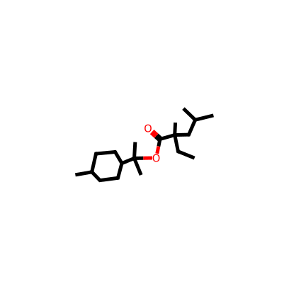 CCC(C)(CC(C)C)C(=O)OC(C)(C)C1CCC(C)CC1